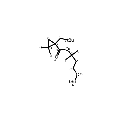 CC(C)(C)CC1(C(=O)OC(C)(C)CCOC(C)(C)C)CC1(C)C